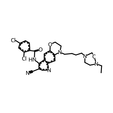 CCN1CCN(CCCCN2CCOc3cc4c(NC(=O)c5ccc(Cl)cc5Cl)c(C#N)cnc4cc32)CC1